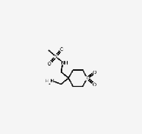 CS(=O)(=O)NCC1(CN)CCS(=O)(=O)CC1